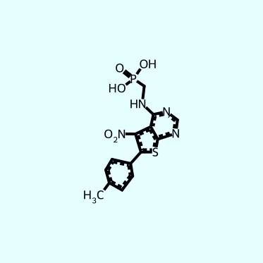 Cc1ccc(-c2sc3ncnc(NCP(=O)(O)O)c3c2[N+](=O)[O-])cc1